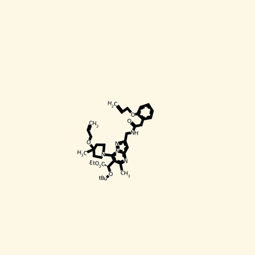 C=CCOc1ccccc1CC(=O)NCc1cc2nc(C)c([C@H](OC(C)(C)C)C(=O)OCC)c(N3CCC(C)(OCC=C)CC3)n2n1